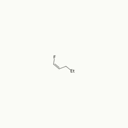 CCC/C=C\F